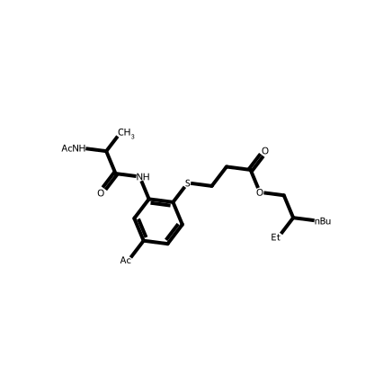 CCCCC(CC)COC(=O)CCSc1ccc(C(C)=O)cc1NC(=O)C(C)NC(C)=O